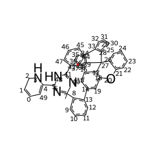 C1=CCNC(C2N=C(c3ccccc3-c3ccc4c(c3)Oc3ccccc3C43c4ccccc4-c4ccccc43)N=C(c3ccccc3)N2)=C1